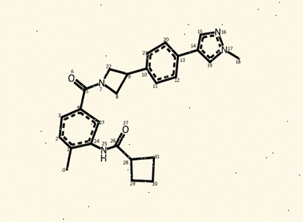 Cc1ccc(C(=O)N2CC(c3ccc(-c4cnn(C)c4)cc3)C2)cc1NC(=O)C1CCC1